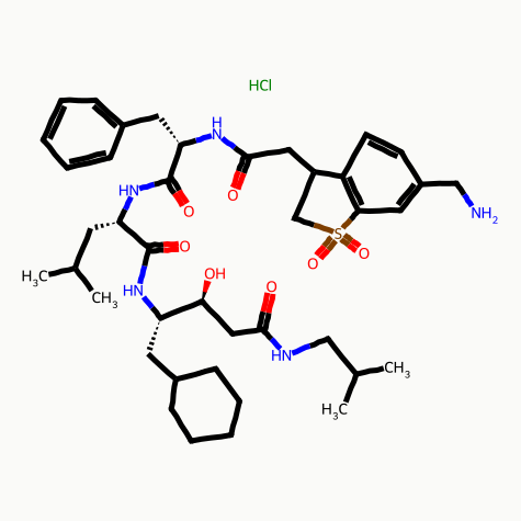 CC(C)CNC(=O)C[C@H](O)[C@H](CC1CCCCC1)NC(=O)[C@H](CC(C)C)NC(=O)[C@H](Cc1ccccc1)NC(=O)CC1CS(=O)(=O)c2cc(CN)ccc21.Cl